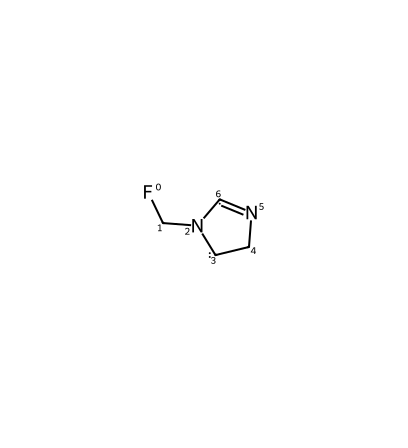 FCN1[C]CN=[C]1